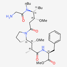 CCCCN(C(=O)CN)[C@@H]([C@@H](C)CC)[C@@H](CC(=O)N1CCC[C@H]1[C@H](OC)[C@@H](C)C(=O)N[C@@H](Cc1ccccc1)C(=O)OC)OC